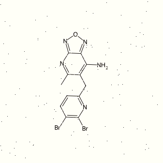 Cc1nc2nonc2c(N)c1Cc1ccc(Br)c(Br)n1